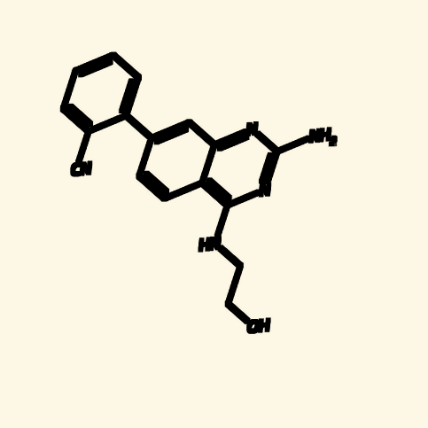 N#Cc1ccccc1-c1ccc2c(NCCO)nc(N)nc2c1